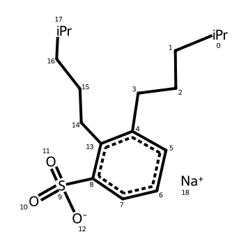 CC(C)CCCc1cccc(S(=O)(=O)[O-])c1CCCC(C)C.[Na+]